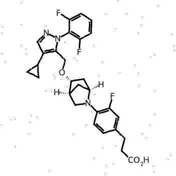 O=C(O)CCc1ccc(N2C[C@@H]3C[C@H]2C[C@H]3OCc2c(C3CC3)cnn2-c2c(F)cccc2F)c(F)c1